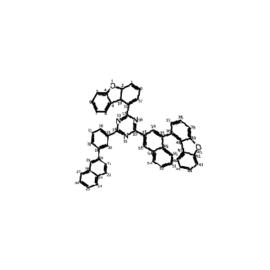 C1=CC2Oc3ccccc3C2C(c2nc(-c3cccc(-c4ccc5ccccc5c4)c3)nc(-c3cc(-c4cccc5oc6ccccc6c45)c4ccccc4c3)n2)=C1